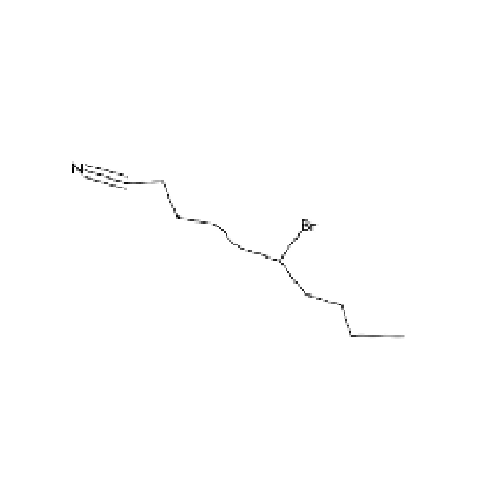 CCCCC(Br)CCCCC#N